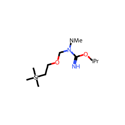 CNN(COCC[Si](C)(C)C)C(=N)OC(C)C